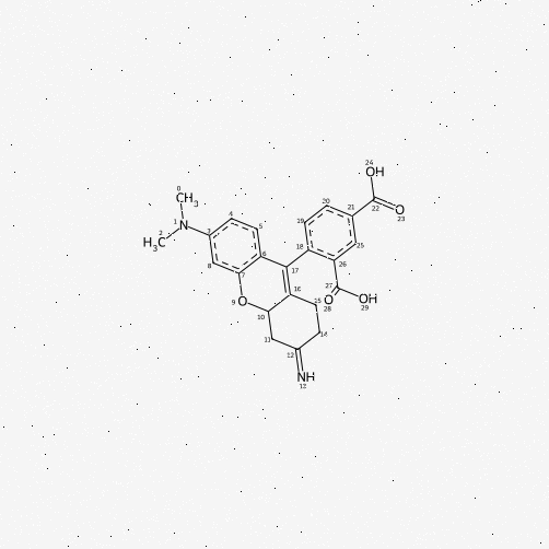 CN(C)c1ccc2c(c1)OC1CC(=N)CCC1=C2c1ccc(C(=O)O)cc1C(=O)O